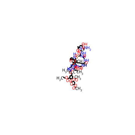 C=CCOC(=O)c1cc(COC(=O)N(C)CCCCC2COc3ccc4c5c([nH]c4c3)[S+]([O-])CC(C(=O)N[C@@H](CC(N)=O)C(=O)N3C[C@H](O)CC34CC4=O)NC(=O)CNC(=O)[C@@H](NC(=O)CNC(=O)[C@@H](NC(=O)[C@@H](N)[C@@H](C)[C@H](C)O)C5)[C@@H]2CC)ccc1O[C@@H]1OC[C@@H](OC(C)=O)C[C@H]1OC(C)=O